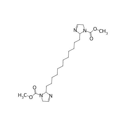 COC(=O)N1CC=NC1CCCCCCCCCCCCC1N=CCN1C(=O)OC